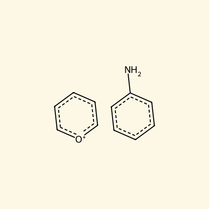 Nc1ccccc1.c1cc[o+]cc1